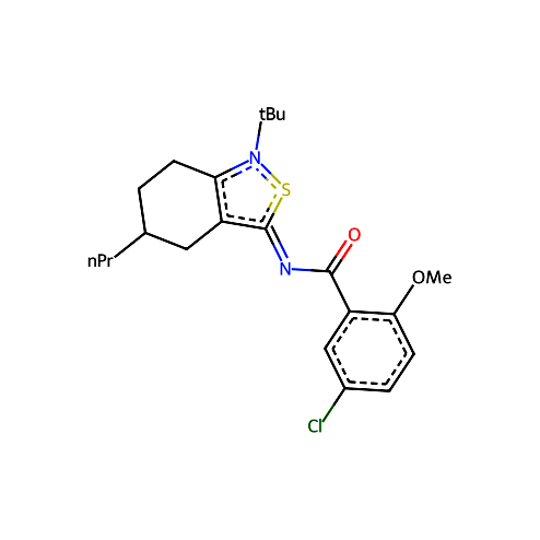 CCCC1CCc2c(/c(=N/C(=O)c3cc(Cl)ccc3OC)sn2C(C)(C)C)C1